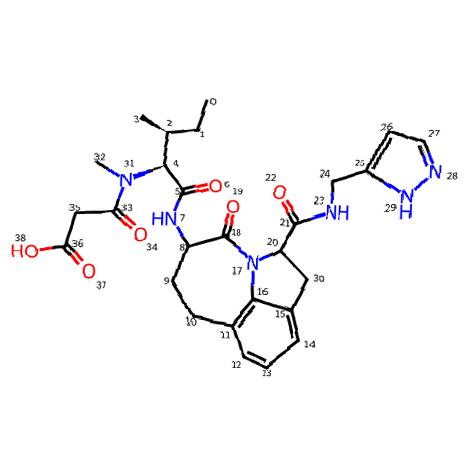 CC[C@H](C)[C@@H](C(=O)NC1CCc2cccc3c2N(C1=O)C(C(=O)NCc1ccn[nH]1)C3)N(C)C(=O)CC(=O)O